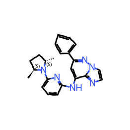 C[C@H]1CC[C@H](C)N1c1cccc(Nc2cc(-c3ccccc3)nn3ccnc23)n1